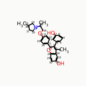 CC1=C(c2cccc(O)c2)C(c2ccc(OCC(C)N3CC[C@@H](C)C3)cc2)Oc2ccc(O)cc21